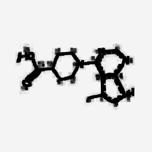 Cc1c[nH]c2ncnc(N3CCC(C(=O)O)CC3)c12